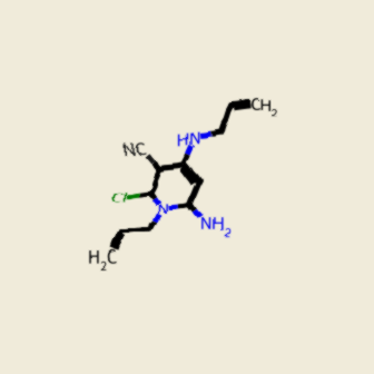 C=CCNC1=CC(N)N(CC=C)C(Cl)C1C#N